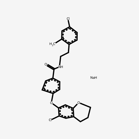 Cc1cc(Cl)ccc1CCNC(=O)c1ccc(Oc2cc3c(cc2Cl)CCCO3)cc1.[NaH]